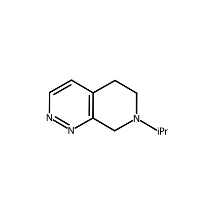 CC(C)N1CCc2ccnnc2C1